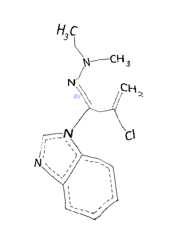 C=C(Cl)/C(=N\N(C)C)n1cnc2ccccc21